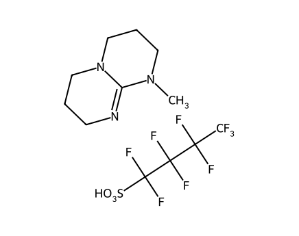 CN1CCCN2CCCN=C12.O=S(=O)(O)C(F)(F)C(F)(F)C(F)(F)C(F)(F)F